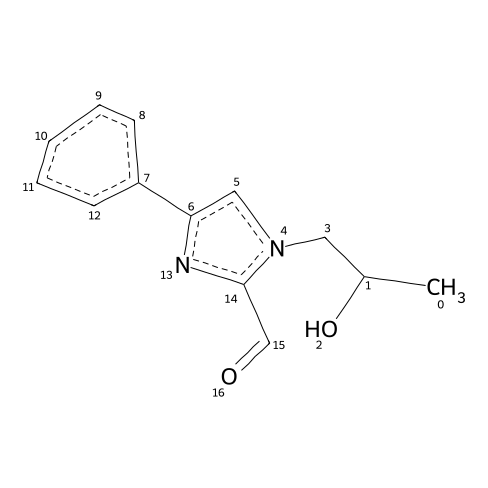 CC(O)Cn1cc(-c2ccccc2)nc1C=O